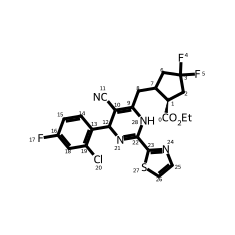 CCOC(=O)[C@@H]1CC(F)(F)CC1CC1=C(C#N)C(c2ccc(F)cc2Cl)N=C(c2nccs2)N1